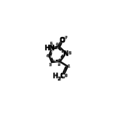 C=Cc1cc[nH]c(=O)n1